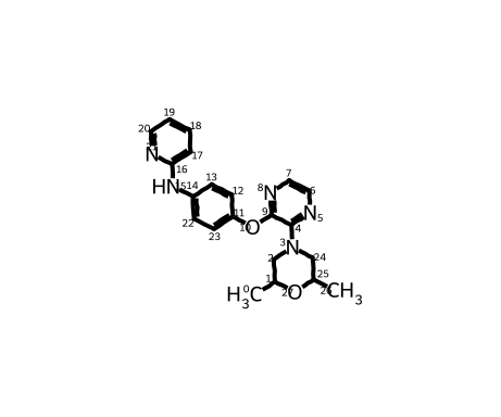 CC1CN(c2nccnc2Oc2ccc(Nc3ccccn3)cc2)CC(C)O1